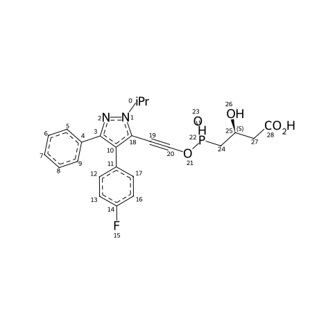 CC(C)n1nc(-c2ccccc2)c(-c2ccc(F)cc2)c1C#CO[PH](=O)C[C@@H](O)CC(=O)O